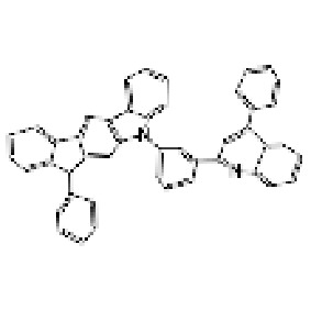 c1ccc(-c2cc(-c3cccc(-n4c5ccccc5c5cc6c(cc54)C(c4ccccc4)c4ccccc4-6)c3)nc3ccccc23)cc1